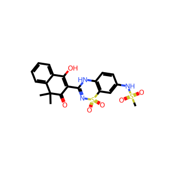 CC1(C)C(=O)C(C2=NS(=O)(=O)c3cc(NS(C)(=O)=O)ccc3N2)=C(O)c2ccccc21